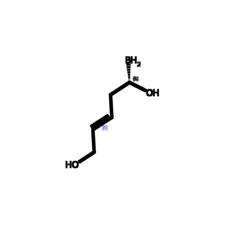 B[C@H](O)C/C=C/CO